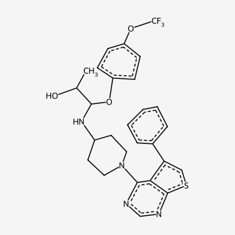 CC(O)C(NC1CCN(c2ncnc3scc(-c4ccccc4)c23)CC1)Oc1ccc(OC(F)(F)F)cc1